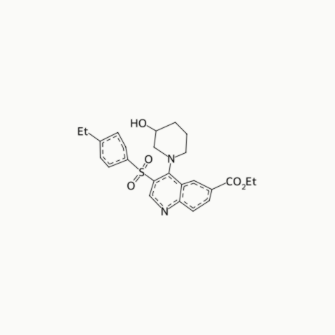 CCOC(=O)c1ccc2ncc(S(=O)(=O)c3ccc(CC)cc3)c(N3CCCC(O)C3)c2c1